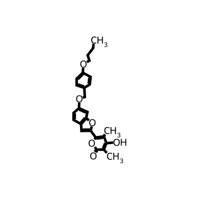 CCCCOc1ccc(COc2ccc3cc(-c4oc(=O)c(C)c(O)c4C)oc3c2)cc1